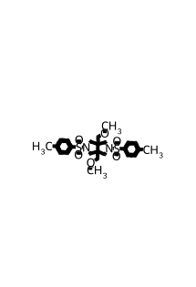 COCC12CN(S(=O)(=O)c3ccc(C)cc3)CC1(COC)CN(S(=O)(=O)c1ccc(C)cc1)C2